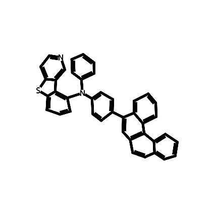 c1ccc(N(c2ccc(-c3cc4ccc5ccccc5c4c4ccccc34)cc2)c2cccc3sc4ccncc4c23)cc1